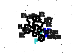 CCCC(CC)CCC(C)C[B-](CC(C)CCC(CC)CCC)(CC(C)CCC(CC)CCC)CC(C)CCC(CC)CCC.CCCCCCCCC[NH+](CCCCCC)c1ccc(F)cc1F